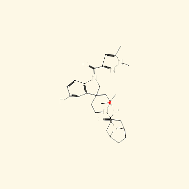 Cc1cc(C(=O)N2CC3(CCN(C4CC5CCC(C4)N5C(=O)OC(C)C)CC3)c3cc(F)ccc32)nn1C